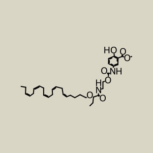 CC/C=C\C/C=C\C/C=C\C/C=C\C/C=C\CCCCOC(CC)C(=O)NCCOC(=O)Nc1ccc(O)c(C(=O)OC)c1